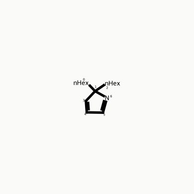 CCCCCCC1(CCCCCC)C=CC=N1